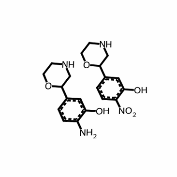 Nc1ccc(C2CNCCO2)cc1O.O=[N+]([O-])c1ccc(C2CNCCO2)cc1O